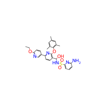 CCOc1ccc(-c2ccc(C(O)NS(=O)(=O)c3cccc(N)n3)c(Oc3c(C)cc(C)cc3C)n2)cn1